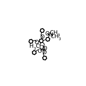 CCc1c(OCc2ccccc2)cc(OCc2ccccc2)c(-c2cccc(C(=O)N(C)C)c2)c1CC1O[C@@H](OCc2ccccc2)[C@H](OCc2ccccc2)O1